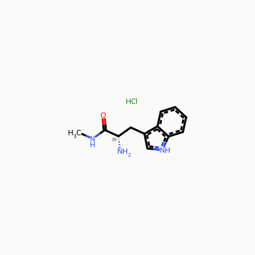 CNC(=O)[C@@H](N)Cc1c[nH]c2ccccc12.Cl